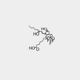 CCCCC[C@H](O)C=C[C@@H]1C(SCCCCCC(=O)O)=C(OS(=O)(=O)C(F)(F)F)C[C@H]1O